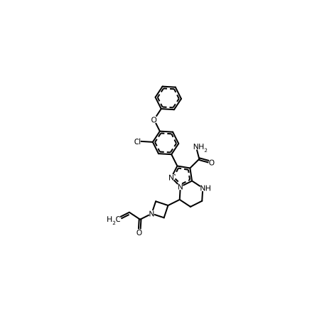 C=CC(=O)N1CC(C2CCNc3c(C(N)=O)c(-c4ccc(Oc5ccccc5)c(Cl)c4)nn32)C1